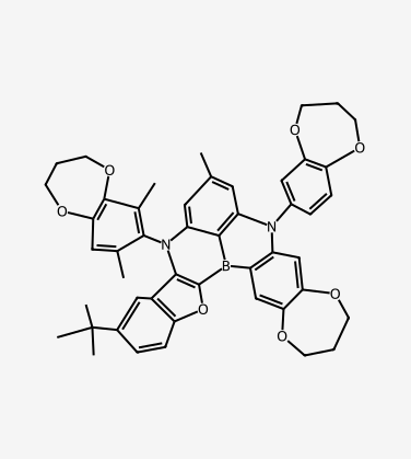 Cc1cc2c3c(c1)N(c1c(C)cc4c(c1C)OCCCO4)c1c(oc4ccc(C(C)(C)C)cc14)B3c1cc3c(cc1N2c1ccc2c(c1)OCCCO2)OCCCO3